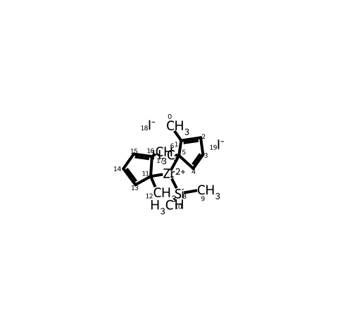 CC1=CC=C[C]1(C)[Zr+2]([SiH](C)C)[C]1(C)C=CC=C1C.[I-].[I-]